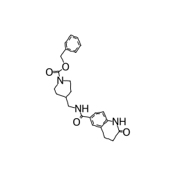 O=C1CCc2cc(C(=O)NCC3CCN(C(=O)OCc4ccccc4)CC3)ccc2N1